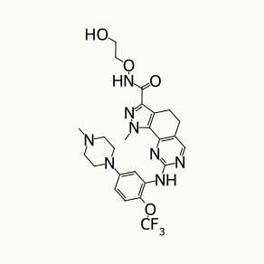 CN1CCN(c2ccc(OC(F)(F)F)c(Nc3ncc4c(n3)-c3c(c(C(=O)NOCCO)nn3C)CC4)c2)CC1